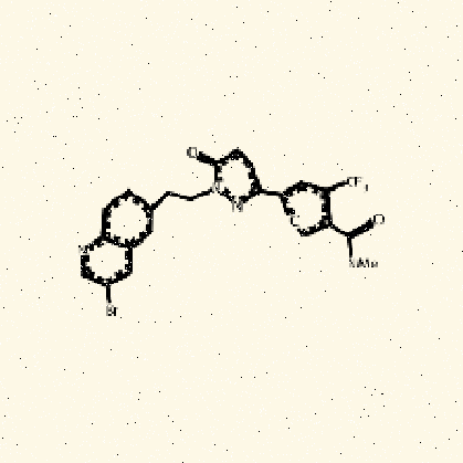 CNC(=O)c1ccc(-c2ccc(=O)n(CCc3ccc4ncc(Br)cc4c3)n2)cc1C(F)(F)F